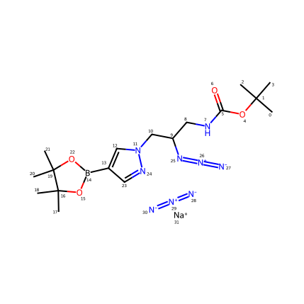 CC(C)(C)OC(=O)NCC(Cn1cc(B2OC(C)(C)C(C)(C)O2)cn1)N=[N+]=[N-].[N-]=[N+]=[N-].[Na+]